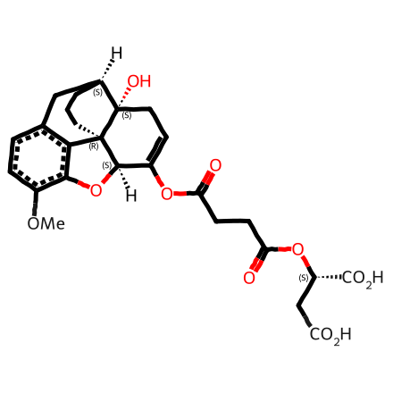 COc1ccc2c3c1O[C@@H]1C(OC(=O)CCC(=O)O[C@@H](CC(=O)O)C(=O)O)=CC[C@]4(O)[C@@H](CCC[C@@]314)C2